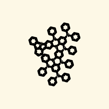 c1ccc(N(c2ccccc2)c2cc3c4c(c2)N(c2ccccc2)c2cc5c(cc2B4c2ccccc2N3c2ccccc2)B2c3cc4c6cccc7c8ccccc8n(c4cc3N(c3ccccc3)c3cc(N(c4ccccc4)c4ccccc4)cc(c32)N5c2ccccc2)c76)cc1